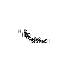 COCCCNC(=O)c1cccc(S(=O)(=O)NC(=O)c2ccc(OC(=O)NCCOC)nc2)c1